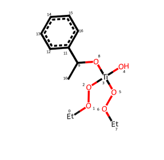 CCO[O][Ti]([OH])([O]OCC)[O]C(C)c1ccccc1